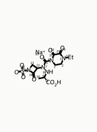 CCN1CCN(C(=O)N(N[C@H](C)C(=O)O)C2CN(S(=O)(=O)[O-])C2=O)C(=O)C1=O.[Na+]